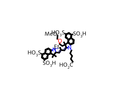 CC[N+]1=C(/C=C(C)/C=C2/N(CCCCCC(=O)O)c3ccc4c(S(=O)(=O)O)cc(S(=O)(=O)O)cc4c3C2(C)CCOCCOC)C(C)(C)c2c1ccc1c(S(=O)(=O)O)cc(S(=O)(=O)O)cc21